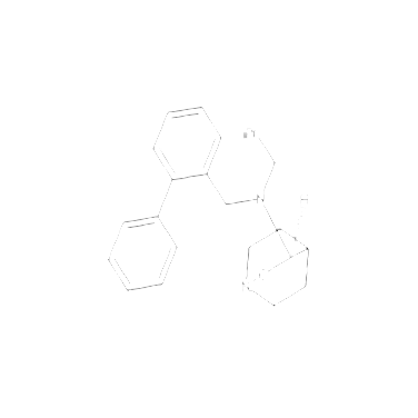 CC(C)CN(Cc1ccccc1-c1ccccc1)[C@@H]1CN2CCC1CC2